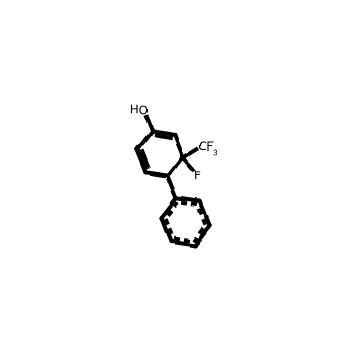 OC1=CC(F)(C(F)(F)F)C(c2ccccc2)C=C1